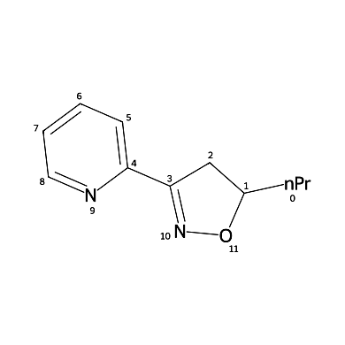 CCCC1CC(c2ccccn2)=NO1